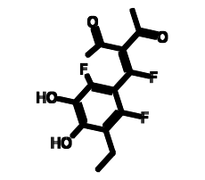 CCc1c(O)c(O)c(F)c(C(F)=C(C(C)=O)C(C)=O)c1F